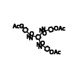 CC(=O)Oc1ccc(-c2nnc(-c3cc(-c4nnc(-c5ccc(OC(C)=O)cc5)o4)cc(-c4nnc(-c5ccc(OC(C)=O)cc5)o4)c3)o2)cc1